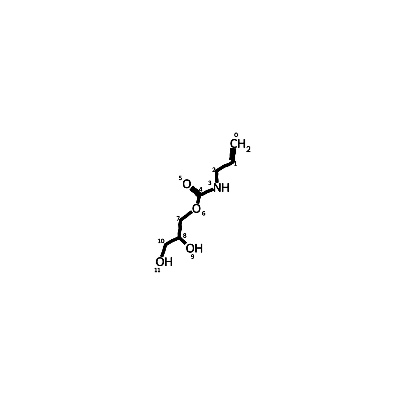 C=CCNC(=O)OCC(O)CO